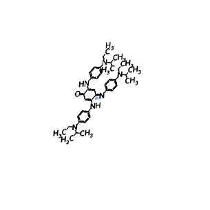 CCN(c1ccc(/N=C2\C=C(Nc3ccc(N(CC)C(C)C)cc3)C(=O)C=C2Nc2ccc(N(CC)C(C)C)cc2)cc1)C(C)C